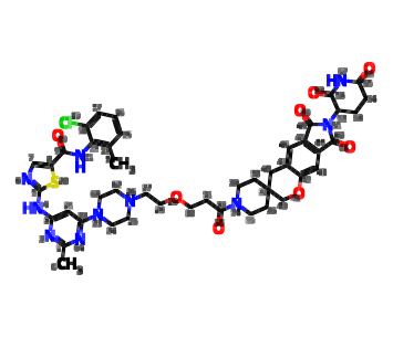 Cc1nc(Nc2ncc(C(=O)Nc3c(C)cccc3Cl)s2)cc(N2CCN(CCOCCC(=O)N3CCC4(CC3)COc3cc5c(cc3C4)C(=O)N(C3CCC(=O)NC3=O)C5=O)CC2)n1